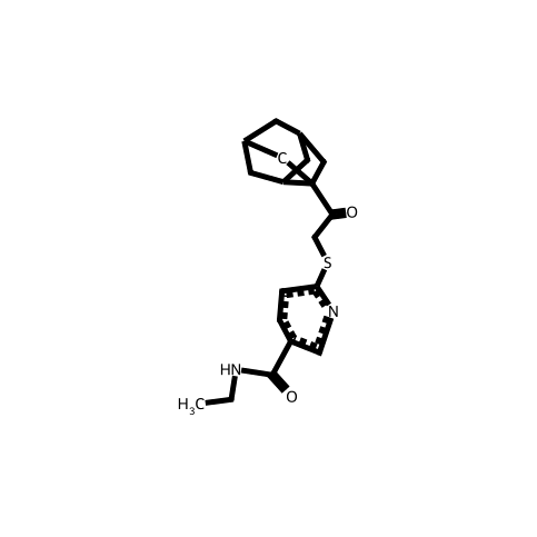 CCNC(=O)c1ccc(SCC(=O)C23CC4CC(CC2C4)C3)nc1